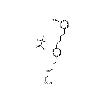 O=C(O)C(F)(F)F.O=C(O)CCNCCCc1ccc(OCCCc2cccc([N+](=O)[O-])c2)cc1